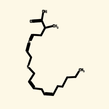 CCCCC/C=C\C/C=C\CSCC=C=CCC(C)C(=O)O